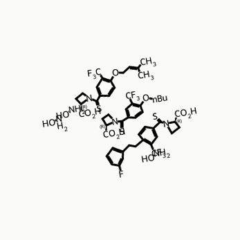 CC(C)=CCOc1ccc(C(=S)N2CC[C@@H]2C(=O)O)cc1C(F)(F)F.CCCCOc1ccc(C(=S)N2CC[C@@H]2C(=O)O)cc1C(F)(F)F.NO.NO.NO.O=C(O)[C@H]1CCN1C(=S)c1ccc(CCc2cccc(F)c2)c(C(F)(F)F)c1